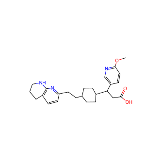 COc1ccc(C(CC(=O)O)C2CCC(CCc3ccc4c(n3)NCCC4)CC2)cn1